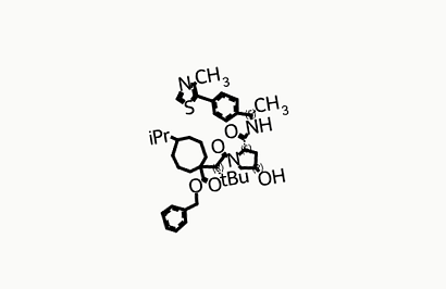 Cc1ncsc1-c1ccc([C@H](C)NC(=O)[C@@H]2C[C@@H](O)CN2C(=O)[C@H](C(C)(C)C)C2(C(=O)OCc3ccccc3)CCCC(C(C)C)CCC2)cc1